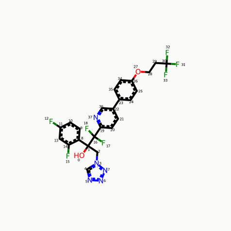 OC(Cn1cnnn1)(c1ccc(F)cc1F)C(F)(F)c1ccc(-c2ccc(OCCC(F)(F)F)cc2)cn1